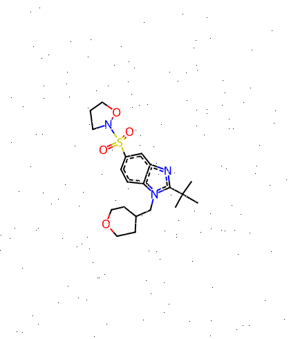 CC(C)(C)c1nc2cc(S(=O)(=O)N3CCCO3)ccc2n1CC1CCOCC1